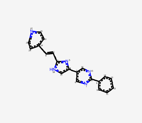 C(=C\c1nc(-c2cnc(-c3ccccc3)nc2)c[nH]1)/c1ccncc1